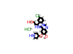 COc1cc2ncnc(NC(CCO)c3cccc(Cl)c3)c2cc1OC1CCNCC1.Cl